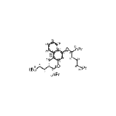 CCCC(CCCC(C)(C)C)Oc1cc(OC(CCC)CCCC(C)C)c2ccccc2c1C